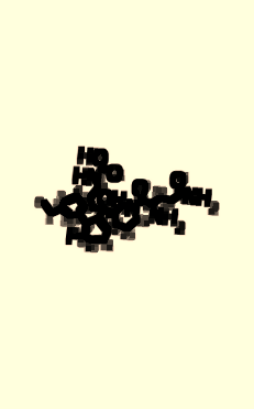 CCc1cccc(-c2c(F)cccc2C(O)(CCCNC(=O)O)C2CCCN(C(=O)[C@@H](N)CCC(N)=O)C2)c1